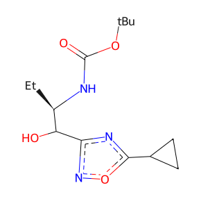 CC[C@@H](NC(=O)OC(C)(C)C)C(O)c1noc(C2CC2)n1